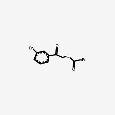 CCCC(=O)OCC(=O)c1cccc(Br)c1